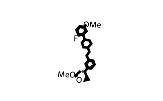 COC(=O)C[C@H](c1cccc(CCC2CCC(c3cc(OC)ccc3F)CC2)c1)C1CC1